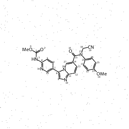 COC(=O)Nc1ccc(-c2cnc3ccc(C(=O)N(CC#N)c4ccc(OC)cc4)cn23)cn1